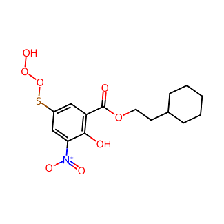 O=C(OCCC1CCCCC1)c1cc(SOOO)cc([N+](=O)[O-])c1O